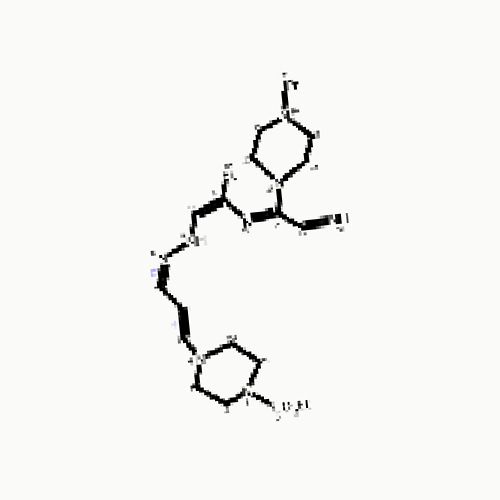 CCOC(=O)N1CCN(/C=C/C=N\NC=C(CC)N=C(C=N)N2CCN(C(C)C)CC2)CC1